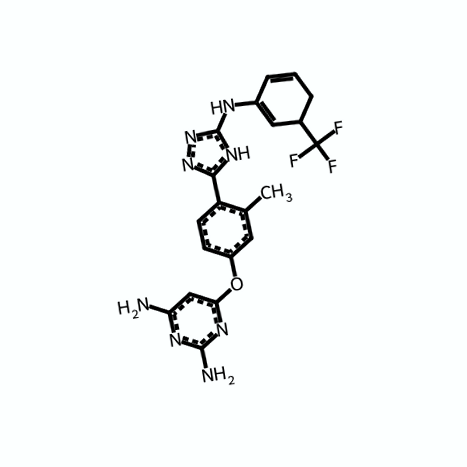 Cc1cc(Oc2cc(N)nc(N)n2)ccc1-c1nnc(NC2=CC(C(F)(F)F)CC=C2)[nH]1